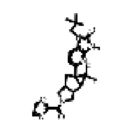 Cn1c(=O)n(CC(C)(C)C)c2ccc(C34CC5CN(C(=O)c6ncco6)CC5C3C4(F)F)nc21